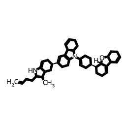 C=CCCC1NC2=CC[C@@H](C3=CC4=C(CC3)N(C3=CC[C@H](C5CCC=C6C7C=CCCC7O[C@H]65)CC3)C3CCC=CC43)CC2C1C